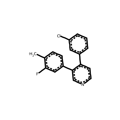 [CH2]c1ccc(-c2cnccc2-c2cccc(Cl)c2)cc1F